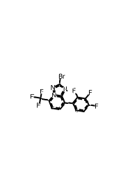 Fc1ccc(-c2ccc(C(F)(F)F)n3nc(Br)nc23)c(F)c1F